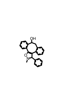 CN1OC2=C(c3ccccc3CC(O)c3ccccc32)C1c1ccccc1